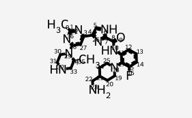 Cc1nc(-c2c[nH]c(C(=O)Nc3cccc(F)c3N3CCC(CN)CC3)n2)cc(N2CCNC[C@H]2C)n1